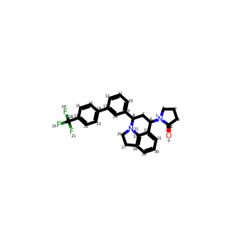 O=C1CCCN1C1CC(c2cccc(-c3ccc(C(F)(F)F)cc3)c2)N2CCc3cccc1c32